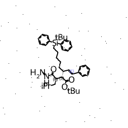 CC(C)C[C@@H](C(=O)NN)[C@@H](C(=O)OC(C)(C)C)C(/C=C/c1ccccc1)CCCCC[Si](c1ccccc1)(c1ccccc1)C(C)(C)C